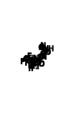 C[C@@H]1[C@H](c2c(F)ccc(F)c2F)C[C@H](NC(=O)c2cnc3c(c2)C[C@@]2(C3)C(=O)Nc3ncccc32)C(=O)N1CC(F)(F)F.O